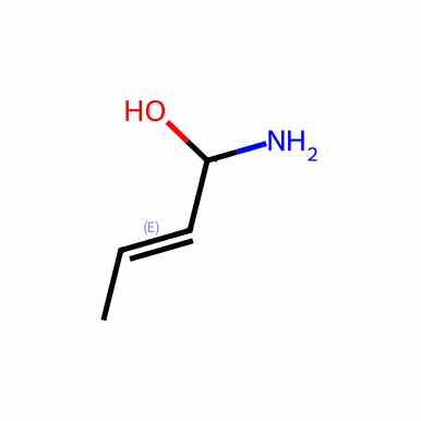 C/C=C/[C](N)O